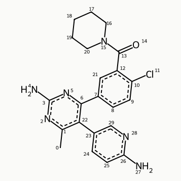 Cc1nc(N)nc(-c2ccc(Cl)c(C(=O)N3CCCCC3)c2)c1-c1ccc(N)nc1